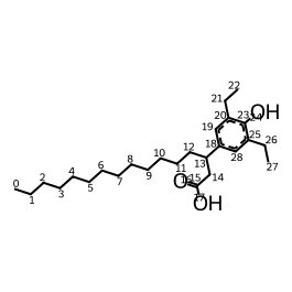 CCCCCCCCCCCCCC(CC(=O)O)c1cc(CC)c(O)c(CC)c1